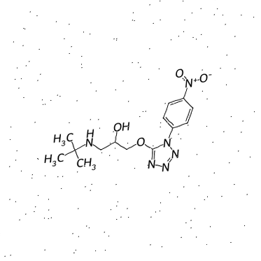 CC(C)(C)NCC(O)COc1nnnn1-c1ccc([N+](=O)[O-])cc1